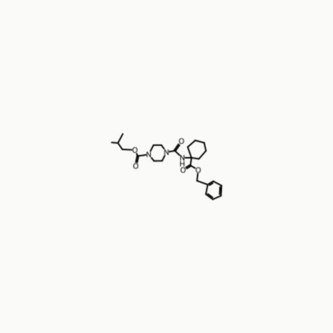 CC(C)COC(=O)N1CCN(C(=O)NC2(C(=O)OCc3ccccc3)CCCCC2)CC1